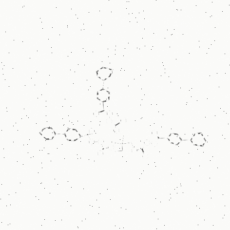 CCC(COC(=O)OOC(=O)c1ccc(-c2ccccc2)cc1)(COC(=O)OOC(=O)c1ccc(-c2ccccc2)cc1)COC(=O)OOC(=O)c1ccc(-c2ccccc2)cc1